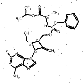 C=C1[C@@H](n2cnc3c(N)nc(F)nc32)[C@H](CO)[C@H]1COP(=O)(N[C@@H](C)C(=O)OC(C)C)Oc1ccccc1